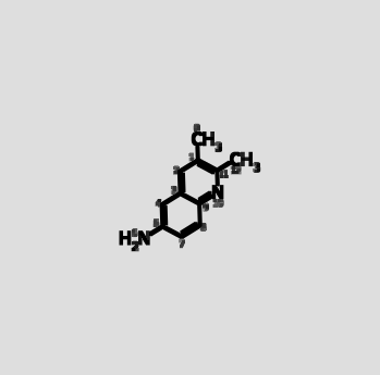 Cc1cc2cc(N)ccc2nc1C